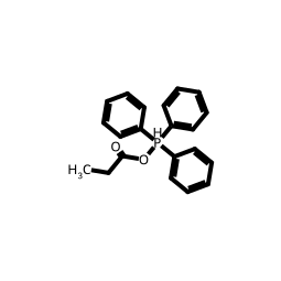 CCC(=O)O[PH](c1ccccc1)(c1ccccc1)c1ccccc1